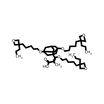 CCCC1(CCCCCOC(=C(C)C(=O)O)C23CC4CC(OCCCCCC5(CCC)COC5)(CC(OCCCCCC5(CCC)COC5)(C4)C2)C3)COC1